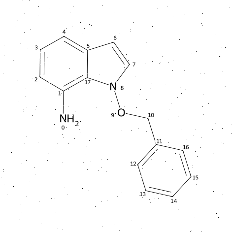 Nc1cccc2ccn(OCc3ccccc3)c12